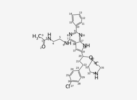 CC(=O)NCCNc1nc(-c2ccccc2)nc2[nH]c(C(CCc3ccc(Cl)cc3)OC3CCNCC3)cc12